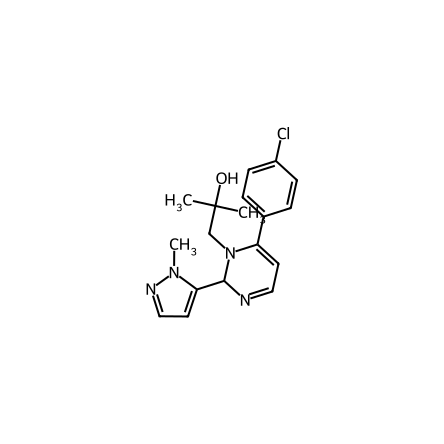 Cn1nccc1C1N=CC=C(c2ccc(Cl)cc2)N1CC(C)(C)O